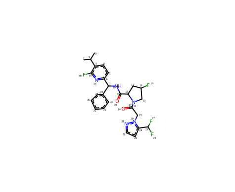 CC(C)c1ccc(C(NC(=O)C2CC(F)CN2C(=O)Cn2nccc2C(F)F)c2ccccc2)nc1F